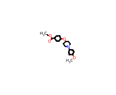 CCOC(=O)c1ccc(OC2CCN(c3ccc(OC)cc3)CC2)cc1